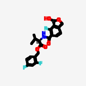 CC(C)[C@H](NC(=O)c1ccc2c(c1F)B(O)OC2)C(=O)OCc1ccc(F)cc1F